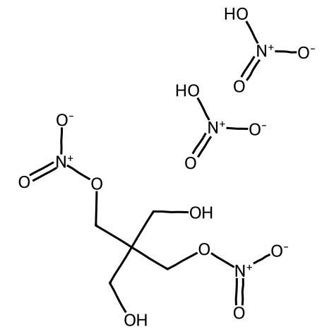 O=[N+]([O-])O.O=[N+]([O-])O.O=[N+]([O-])OCC(CO)(CO)CO[N+](=O)[O-]